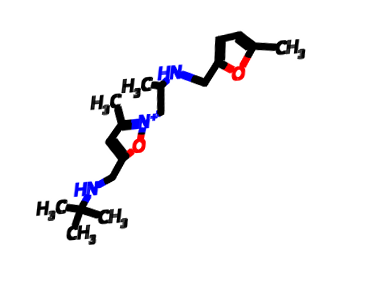 Cc1ccc(CNC(C)C[n+]2oc(CNC(C)(C)C)cc2C)o1